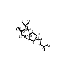 CC(C)CCN1CCC2(CC1)CN(C(C)C)C(=O)CO2